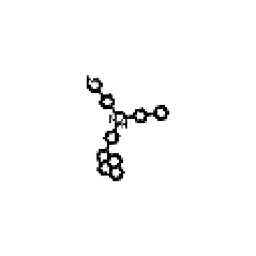 c1ccc(-c2ccc(-c3cc(-c4ccc(-c5ccncc5)cc4)nc(-c4ccc(-c5ccc6ccc7cccc8ccc5c6c78)cc4)n3)cc2)cc1